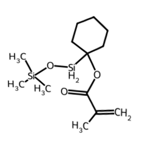 C=C(C)C(=O)OC1([SiH2]O[Si](C)(C)C)CCCCC1